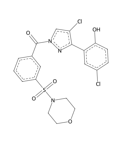 O=C(c1cccc(S(=O)(=O)N2CCOCC2)c1)n1cc(Cl)c(-c2cc(Cl)ccc2O)n1